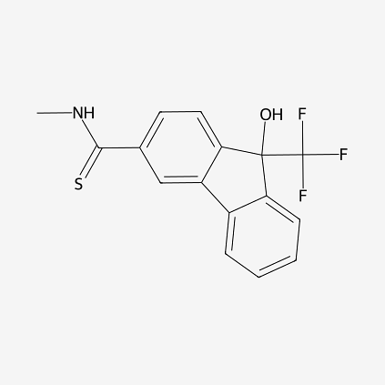 CNC(=S)c1ccc2c(c1)-c1ccccc1C2(O)C(F)(F)F